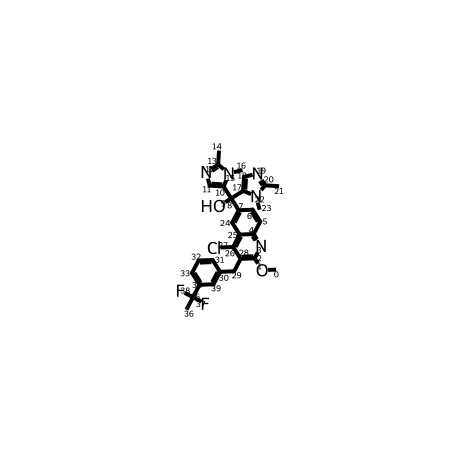 COc1nc2ccc(C(O)(c3cnc(C)n3C)c3cnc(C)n3C)cc2c(Cl)c1Cc1cccc(C(C)(F)F)c1